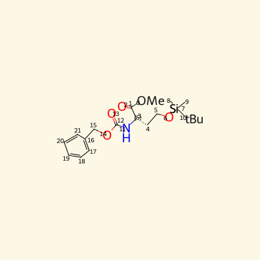 COC(=O)[C@H](CCO[Si](C)(C)C(C)(C)C)NC(=O)OCc1ccccc1